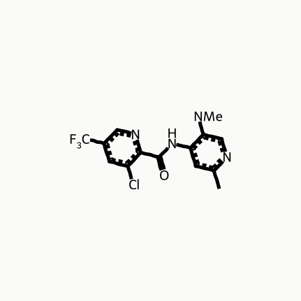 CNc1cnc(C)cc1NC(=O)c1ncc(C(F)(F)F)cc1Cl